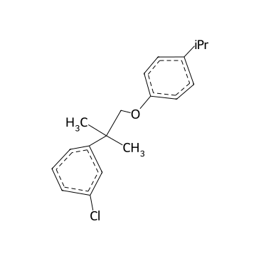 CC(C)c1ccc(OCC(C)(C)c2cccc(Cl)c2)cc1